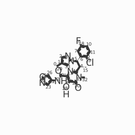 Cc1cnn([C@H](c2cc(F)ccc2Cl)[C@H](C)c2nc(C(=O)Nc3cnoc3)c(O)c(=O)n2C)c1